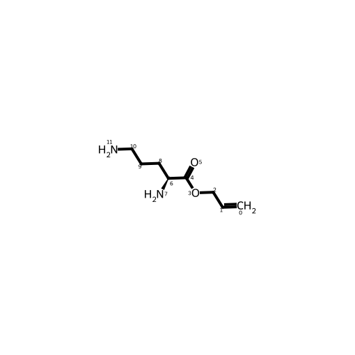 C=CCOC(=O)[C@@H](N)CCCN